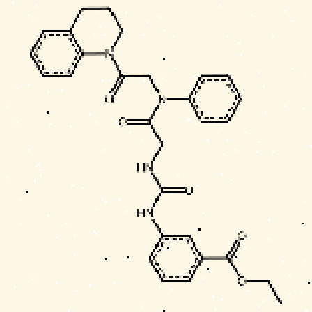 CCOC(=O)c1cccc(NC(=O)NCC(=O)N(CC(=O)N2CCCc3ccccc32)c2ccccc2)c1